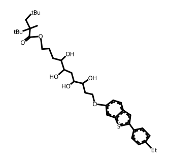 CCc1ccc(-c2cc3ccc(OCCC(O)C(O)CC(O)C(O)CCCOC(=O)C(C)(CC(C)(C)C)C(C)(C)C)cc3s2)cc1